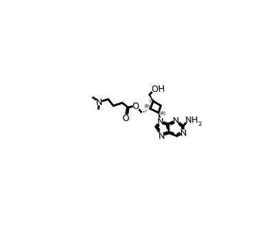 CN(C)CCCC(=O)OC[C@@H]1[C@@H](CO)C[C@H]1n1cnc2cnc(N)nc21